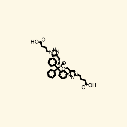 O=C(O)CCCn1cc(COP(=O)(OCc2cn(CCCC(=O)O)nn2)C(c2ccccc2)(c2ccccc2)c2ccccc2)nn1